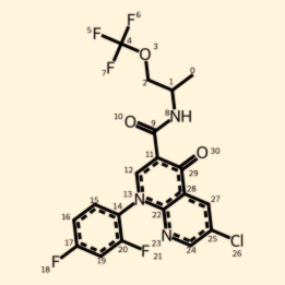 CC(COC(F)(F)F)NC(=O)c1cn(-c2ccc(F)cc2F)c2ncc(Cl)cc2c1=O